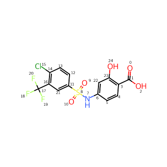 O=C(O)c1ccc(NS(=O)(=O)c2ccc(Cl)c(C(F)(F)F)c2)cc1O